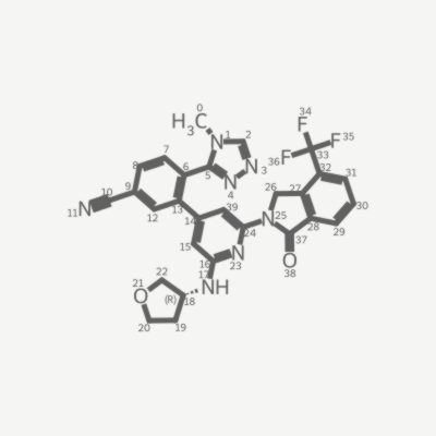 Cn1cnnc1-c1ccc(C#N)cc1-c1cc(N[C@@H]2CCOC2)nc(N2Cc3c(cccc3C(F)(F)F)C2=O)c1